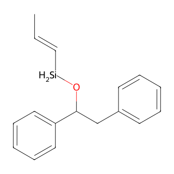 CC=C[SiH2]OC(Cc1ccccc1)c1ccccc1